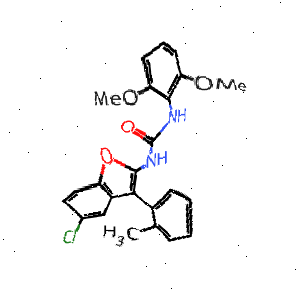 COc1cccc(OC)c1NC(=O)Nc1oc2ccc(Cl)cc2c1-c1ccccc1C